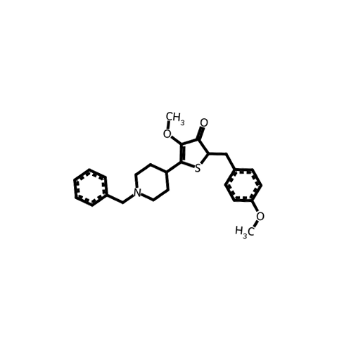 COC1=C(C2CCN(Cc3ccccc3)CC2)SC(Cc2ccc(OC)cc2)C1=O